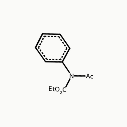 CCOC(=O)N(C(C)=O)c1ccccc1